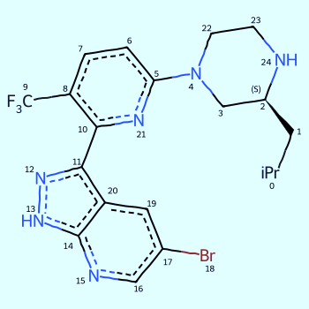 CC(C)C[C@H]1CN(c2ccc(C(F)(F)F)c(-c3n[nH]c4ncc(Br)cc34)n2)CCN1